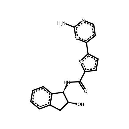 Nc1nccc(-c2ccc(C(=O)N[C@@H]3c4ccccc4C[C@@H]3O)s2)n1